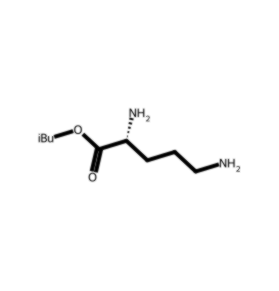 CCC(C)OC(=O)[C@H](N)CCCN